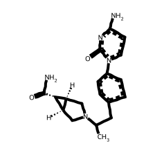 CC(Cc1ccc(-n2ccc(N)nc2=O)cc1)N1C[C@@H]2[C@H](C1)[C@H]2C(N)=O